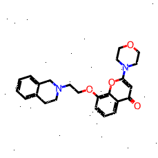 O=c1cc(N2CCOCC2)oc2c(OCCN3CCc4ccccc4C3)cccc12